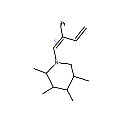 C=C/C(=C\N1CC(C)C(C)C(C)C1C)C(C)C